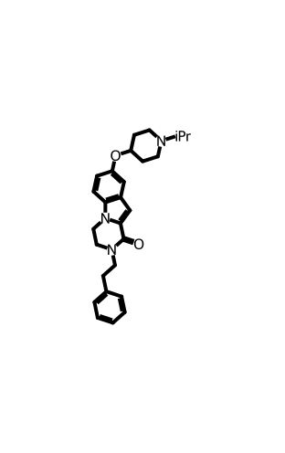 CC(C)N1CCC(Oc2ccc3c(c2)cc2n3CCN(CCc3ccccc3)C2=O)CC1